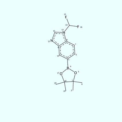 CC1(C)OB(c2ccc3c(c2)ncn3C(F)F)OC1(C)C